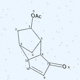 CC(=O)OC1CC2CC1C1C(=O)C=CC21